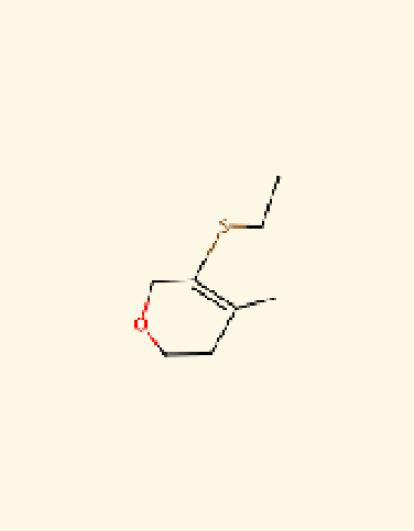 CCSC1=C(C)CCOC1